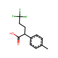 Cc1ccc(C(CCC(F)(F)F)C(=O)O)cc1